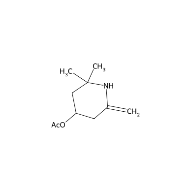 C=C1CC(OC(C)=O)CC(C)(C)N1